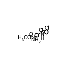 CCOC(=O)N(N)c1ccc(CNc2cccc(Cl)c2Cl)cc1